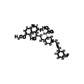 COc1ccc2ncc(F)c([C@@H](O)CC[C@@H]3CCN(CC#Cc4cccc(F)c4)C[C@H]3CC(=O)O)c2c1